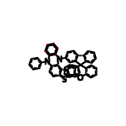 c1ccc(N(c2ccccc2)c2ccc3sc4ccccc4c3c2N(c2ccccc2)c2ccc3c(c2)C2(c4ccccc4Oc4ccccc42)c2ccccc2-3)cc1